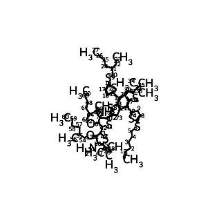 CCCCCCSC1=CCC(c2c3c(c(-c4ccc(SCC(CC)CCCC)s4)c4cc(C(C)(C)C)sc24)SC(C2SC(C4SC(C(C)(C)C)C(N)C4OCC(C)CCCC)C(OCC(CC)CCCC)C2N)C3)S1